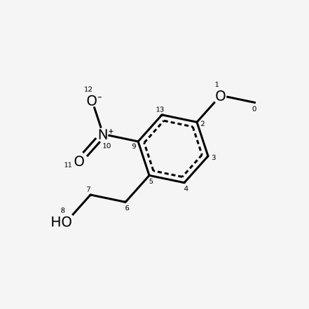 COc1ccc(CCO)c([N+](=O)[O-])c1